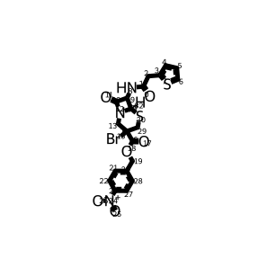 O=C(Cc1cccs1)NC1C(=O)N2CC(Br)(C(=O)OCc3ccc([N+](=O)[O-])cc3)CS[C@H]12